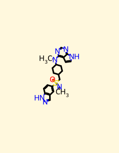 CN=S(=O)(CC1CCC(N(C)c2ncnc3[nH]ccc23)CC1)c1ccc2[nH]ncc2c1